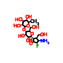 C[C@H]1O[C@@H](O[C@H]2[C@H](O)[C@@H](O)[C@@H](C3[C@@H](CO)[C@@H](N)[C@H](F)[C@H]3O)O[C@@H]2CO)[C@H](O)[C@@H](O)[C@@H]1O